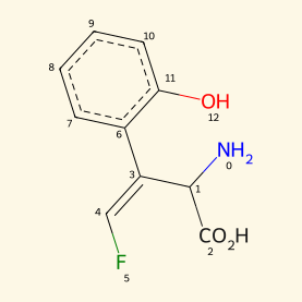 NC(C(=O)O)C(=CF)c1ccccc1O